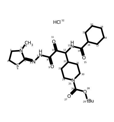 CN1CCSC1=NNC(=O)C(=O)C(NC(=O)C1CCCCC1)C1CCN(C(=O)OC(C)(C)C)CC1.Cl